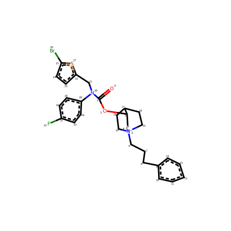 O=C(OC1C[N+]2(CCCc3ccccc3)CCC1CC2)N(Cc1ccc(Br)s1)c1ccc(F)cc1